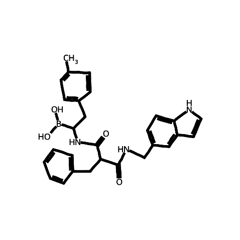 Cc1ccc(CC(NC(=O)C(Cc2ccccc2)C(=O)NCc2ccc3[nH]ccc3c2)B(O)O)cc1